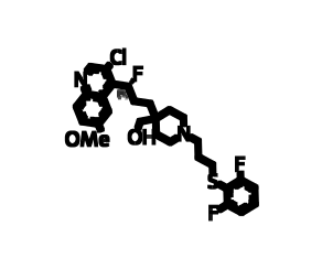 COc1ccc2ncc(Cl)c([C@H](F)CCC3(CO)CCN(CCCSc4c(F)cccc4F)CC3)c2c1